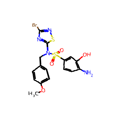 COc1ccc(CN(c2nc(Br)ns2)S(=O)(=O)c2ccc(N)c(O)c2)cc1